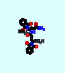 NC(=O)CC[C@](NC(=O)CC[C@@H](C(=O)O)N1C(=O)c2ccccc2C1=O)(C(=O)O)N1C(=O)c2ccccc2C1=O